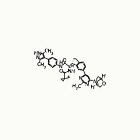 Cc1nc(-c2ccc3c(c2)[C@H]([C@H](NC(=O)C2(F)CC2)C(=O)Nc2ccc(-c4c(C)n[nH]c4C)cc2)CC3)cc(N2C[C@@H]3C[C@H]2CO3)n1